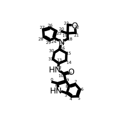 Cc1[nH]c2ccccc2c1C(=O)NC1CCC(N(CC2(C)COC2)c2ccccc2)CC1